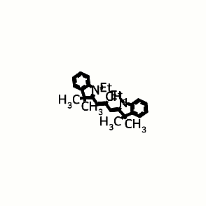 CCN1/C(=C\C(C)=C\C2=[N+](CC)c3ccccc3C2(C)C)C(C)(C)c2ccccc21